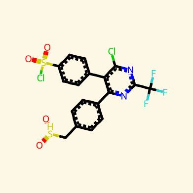 O=[SH](=O)Cc1ccc(-c2nc(C(F)(F)F)nc(Cl)c2-c2ccc(S(=O)(=O)Cl)cc2)cc1